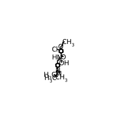 CCCOc1ccc(C(=O)N[C@H](CO)Cc2ccc(-n3cnc(C(C)(C)C)c3)cc2)cc1Cl